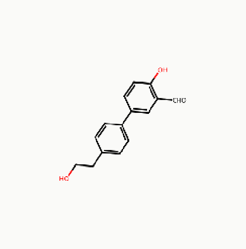 O=Cc1cc(-c2ccc(CCO)cc2)ccc1O